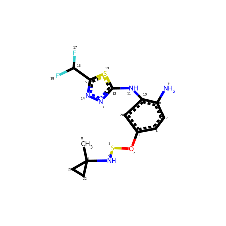 CC1(NSOc2ccc(N)c(Nc3nnc(C(F)F)s3)c2)CC1